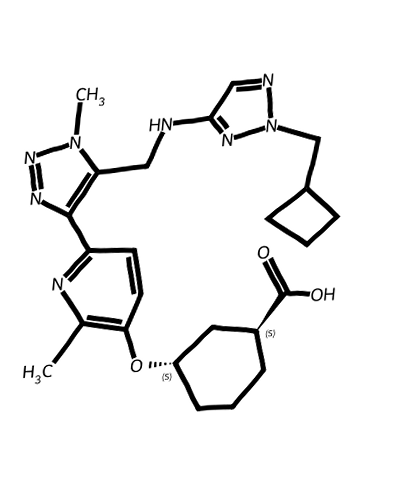 Cc1nc(-c2nnn(C)c2CNc2cnn(CC3CCC3)n2)ccc1O[C@H]1CCC[C@H](C(=O)O)C1